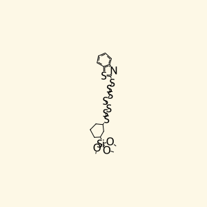 CO[Si](OC)(OC)C1CCCC(SSSSSSSc2nc3ccccc3s2)C1